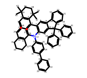 Cc1ccc2c(c1-c1cc3c(cc1N(c1ccc(-c4ccccc4)cc1)c1cccc4c1CCCC4)C(c1ccccc1)(c1ccccc1)c1ccccc1-3)C(C)(C)CCC2(C)C